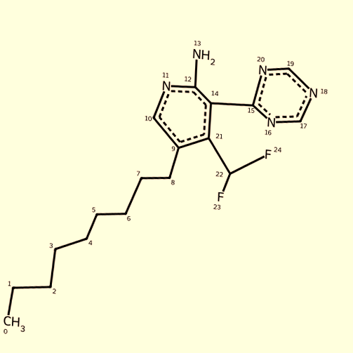 CCCCCCCCCc1cnc(N)c(-c2ncncn2)c1C(F)F